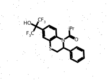 CC(C)C(=O)N1c2ccc(C(O)(C(F)(F)F)C(F)(F)F)cc2SCC1c1ccccc1